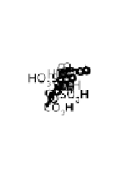 O=C(O)CCCS(=O)(=O)c1cc(S(=O)(=O)O)c(Nc2cc(S(=O)(=O)O)c3[nH]c(=O)c(C(=O)OCc4ccc5ccccc5c4)c4c3c2C(=O)c2ccccc2-4)c(S(=O)(=O)O)c1